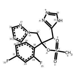 CS(=O)(=O)OC(CC1=N[N+]=CN1)(Cn1cncn1)c1ccc(F)cc1F